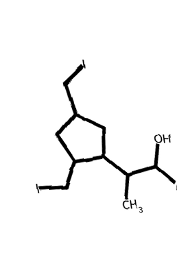 CC(C(O)O)C1CC(CI)CC1CI